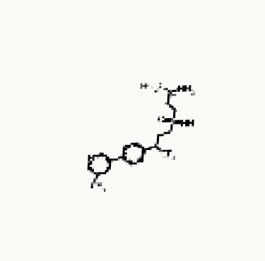 N=S(=O)(CCC(c1ccc(-c2cncc(C(F)(F)F)c2)cc1)C(F)(F)F)CC[C@H](N)C(=O)O